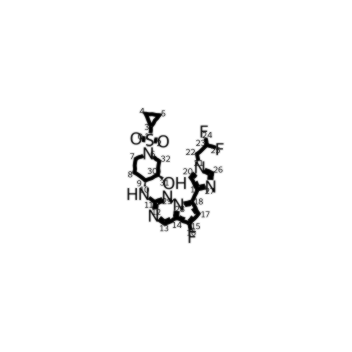 O=S(=O)(C1CC1)N1CC[C@@H](Nc2ncc3c(F)cc(-c4cn(CC(F)F)cn4)n3n2)[C@H](O)C1